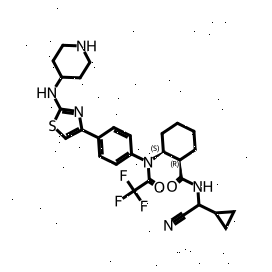 N#CC(NC(=O)[C@@H]1CCCC[C@@H]1N(C(=O)C(F)(F)F)c1ccc(-c2csc(NC3CCNCC3)n2)cc1)C1CC1